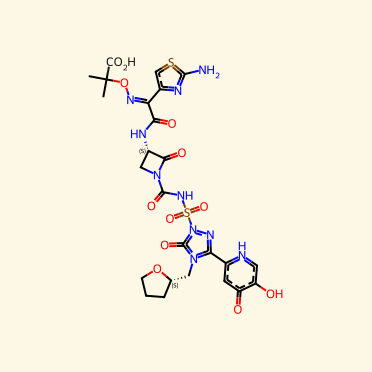 CC(C)(ON=C(C(=O)N[C@H]1CN(C(=O)NS(=O)(=O)n2nc(-c3cc(=O)c(O)c[nH]3)n(C[C@@H]3CCCO3)c2=O)C1=O)c1csc(N)n1)C(=O)O